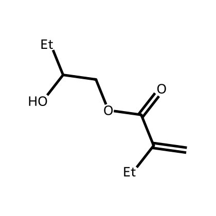 C=C(CC)C(=O)OCC(O)CC